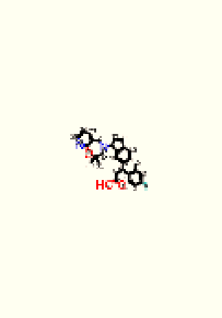 Cc1cc(F)ccc1C(CC(=O)O)c1ccc2c(c1)C(N1Cc3cccnc3OC(C)(C)C1)CC2